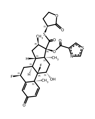 C[C@@H]1C[C@H]2[C@@H]3C[C@H](F)C4=CC(=O)C=C[C@]4(C)[C@@]3(F)[C@@H](O)C[C@]2(C)[C@@]1(OC(=O)c1cscn1)C(=O)S[C@H]1CCOC1=O